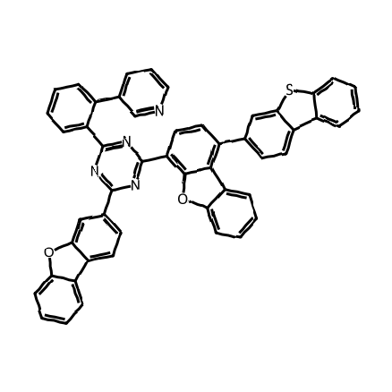 c1cncc(-c2ccccc2-c2nc(-c3ccc4c(c3)oc3ccccc34)nc(-c3ccc(-c4ccc5c(c4)sc4ccccc45)c4c3oc3ccccc34)n2)c1